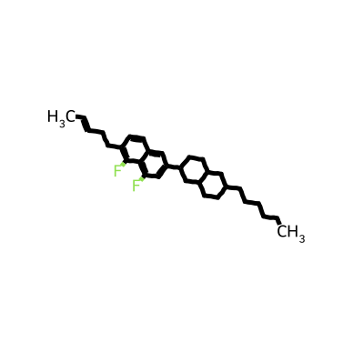 C/C=C/CCc1ccc2cc(C3CCC4CC(CCCCCC)CCC4C3)cc(F)c2c1F